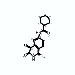 O=C1NC(=O)c2ccc(NC(=O)C3CCCCC3)cc2C1=O